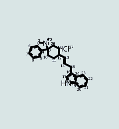 CN(C)C1(c2ccccc2)CCC(/C=C/Cc2c[nH]c3ccccc23)CC1.Cl